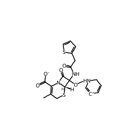 COC1(NC(=O)Cc2cccs2)C(=O)N2C(C(=O)[O-])=C(C)CS[C@H]21.[C+]1=CNCC=C1